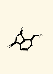 CCCC=C1CC=CC2=C1C(=O)NC2=O